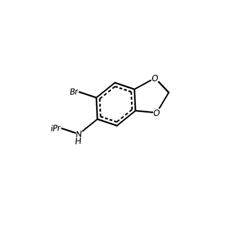 CC(C)Nc1cc2c(cc1Br)OCO2